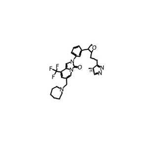 C[C@@H]1C=NN=C1CCC1OCC1c1cccc(-n2cc3c(C(F)(F)F)cc(CN4CCCCCC4)cn3c2=O)c1